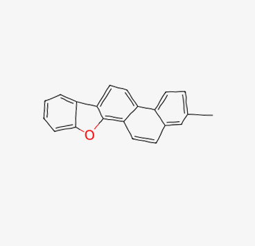 Cc1ccc2c(ccc3c2ccc2c4ccccc4oc23)c1